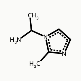 Cc1nccn1C(C)N